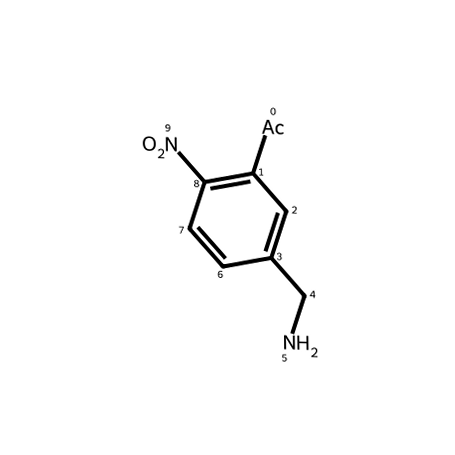 CC(=O)c1cc(CN)ccc1[N+](=O)[O-]